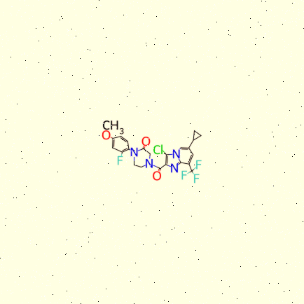 COc1ccc(N2CCN(C(=O)c3nc4c(C(F)(F)F)cc(C5CC5)cn4c3Cl)CC2=O)c(F)c1